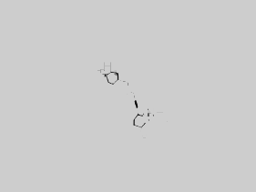 COc1ccc(COCC#Cc2ccc(Br)c[n+]2N)cc1